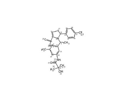 Cc1cc(C(C)N2C(C(N)=O)=CSC2c2ccc(C(F)(F)F)cc2)cc(NC(=O)C(C)(C)O)n1